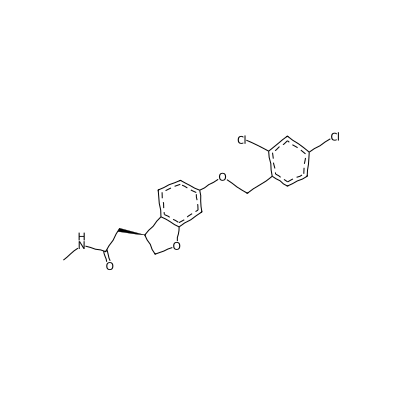 CNC(=O)C[C@@H]1COc2cc(OCc3ccc(Cl)cc3Cl)ccc21